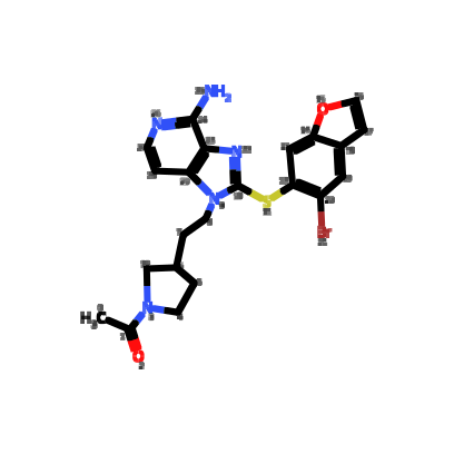 CC(=O)N1CCC(CCn2c(Sc3cc4occc4cc3Br)nc3c(N)nccc32)C1